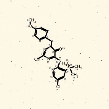 COc1ccc(CC2N=C(Cl)N=C(Nc3ncc(Cl)cc3[Si](C)(C)C)C2=O)cc1